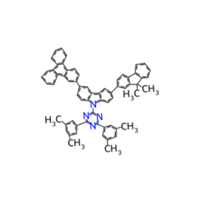 Cc1cc(C)cc(-c2nc(-c3cc(C)cc(C)c3)nc(-n3c4ccc(-c5ccc6c(c5)C(C)(C)c5ccccc5-6)cc4c4cc(-c5ccc6c7ccccc7c7ccccc7c6c5)ccc43)n2)c1